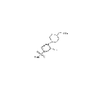 CNS(=O)(=O)c1ccc(N2CCC(COC)CC2)c(N)c1